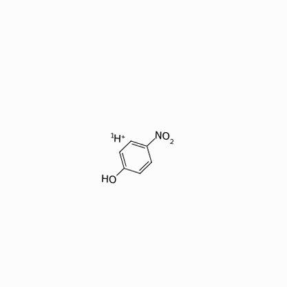 O=[N+]([O-])c1ccc(O)cc1.[1H+]